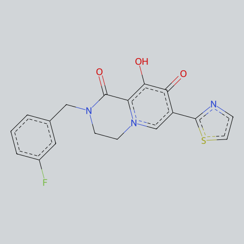 O=C1c2c(O)c(=O)c(-c3nccs3)cn2CCN1Cc1cccc(F)c1